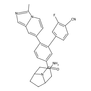 Cc1ncc2cc(-c3ccc(C(=O)N4C5CCC4CC(N)C5)cc3-c3ccc(C#N)c(F)c3)ccn12